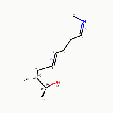 C/N=C\CC/C=C/C[C@@H](C)[C@H](C)O